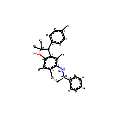 Cc1ccc(C2c3c(C)c(N[C@H](C)c4ccccc4)c(C)c(C)c3OC2(C)C)cc1